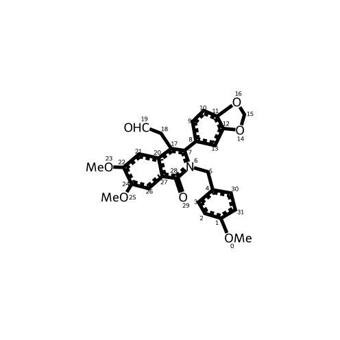 COc1ccc(Cn2c(-c3ccc4c(c3)OCO4)c(CC=O)c3cc(OC)c(OC)cc3c2=O)cc1